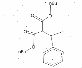 CCCCOC(=O)C(C(=O)OCCCC)C(C)c1ccccc1